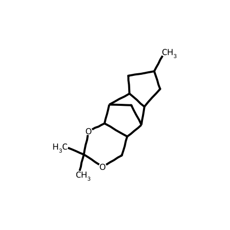 CC1CC2C3CC(C2C1)C1OC(C)(C)OCC31